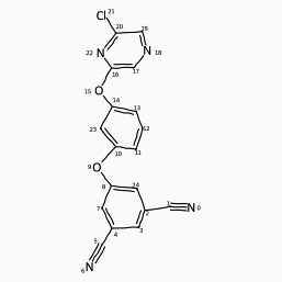 N#Cc1cc(C#N)cc(Oc2cccc(Oc3cncc(Cl)n3)c2)c1